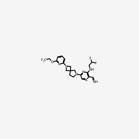 N=Cc1ncc(N2CCC3(CN(c4cccc(OCC(F)(F)F)n4)C3)C2)nc1NCC(F)F